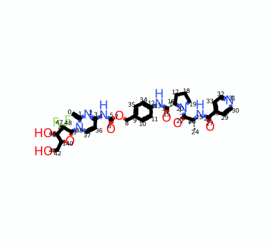 C=C1N=C(NC(=O)OCc2ccc(NC(=O)[C@@H]3CCCN3C(=O)[C@@H](C)NC(=O)c3ccncc3)cc2)C=CN1C1OC(CO)C(O)C1(F)F